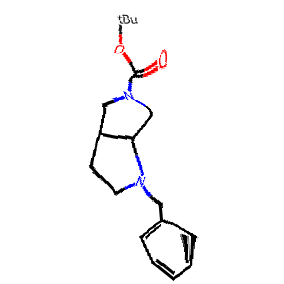 CC(C)(C)OC(=O)N1CC2CCN(Cc3ccccc3)C2C1